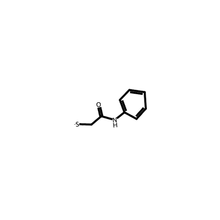 O=C(C[S])Nc1ccccc1